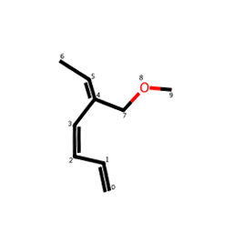 C=C/C=C\C(=C/C)COC